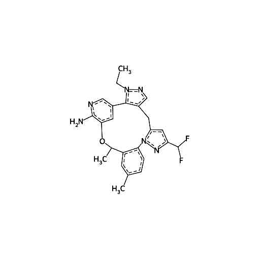 CCn1ncc2c1-c1cnc(N)c(c1)OC(C)c1cc(C)ccc1-n1nc(C(F)F)cc1C2